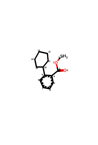 O=C(O[SiH3])c1ccccc1C1CCCCC1